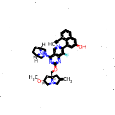 C#Cc1cccc2cc(O)cc(-c3ncc4c(N5C[C@H]6CC[C@@H](C5)N6)nc(OC[C@@]56CC(=C)CN5C[C@H](OC)C6)nc4c3F)c12